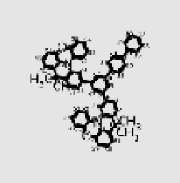 CC1(C)c2ccc(-c3cc(-c4ccc(-c5ccccc5)cc4)cc(-c4ccc5c(c4)N4c6ccccc6Oc6cccc(c64)C5(C)C)c3)cc2N2c3ccccc3Oc3cccc1c32